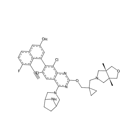 C#Cc1c(F)ccc2cc(O)cc(-c3c(Cl)cc4c(N5CC6CCC(C5)N6)nc(OCC5(CN6C[C@]7(C)COC[C@]7(C)C6)CC5)nc4c3Cl)c12